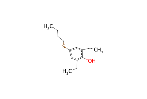 CCCCSc1cc(CC)c(O)c(CC)c1